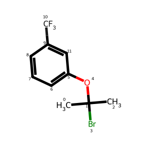 CC(C)(Br)Oc1cccc(C(F)(F)F)c1